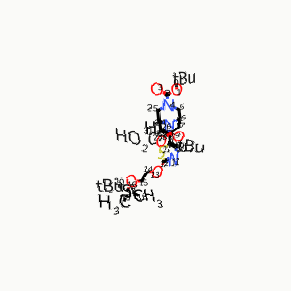 CC(C)(C)OC(=O)N1CC2CC(c3cnc(OCCO[Si](C)(C)C(C)(C)C)s3)=C(C(=O)O)[C@@H](C1)N2C(=O)OC(C)(C)C